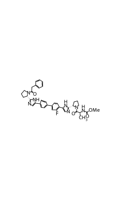 COC(=O)N[C@@H](C)C(=O)N1CCC[C@H]1c1ncc(-c2ccc(-c3ccc(-c4cnc([C@@H]5CCCN5C(=O)Cc5ccccc5)[nH]4)cc3)cc2F)[nH]1